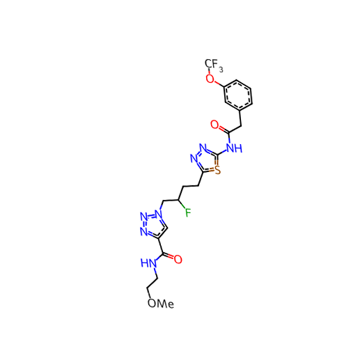 COCCNC(=O)c1cn(CC(F)CCc2nnc(NC(=O)Cc3cccc(OC(F)(F)F)c3)s2)nn1